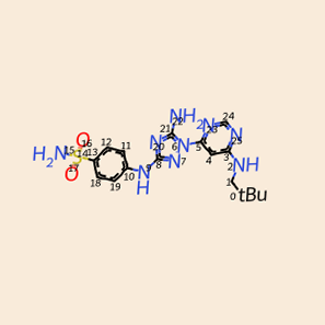 CC(C)(C)CNc1cc(-n2nc(Nc3ccc(S(N)(=O)=O)cc3)nc2N)ncn1